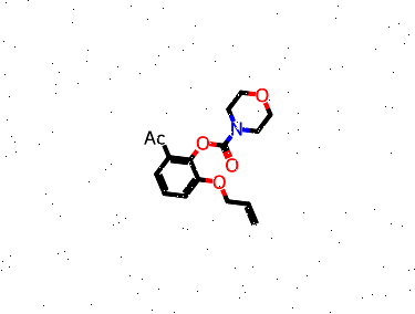 C=CCOc1cccc(C(C)=O)c1OC(=O)N1CCOCC1